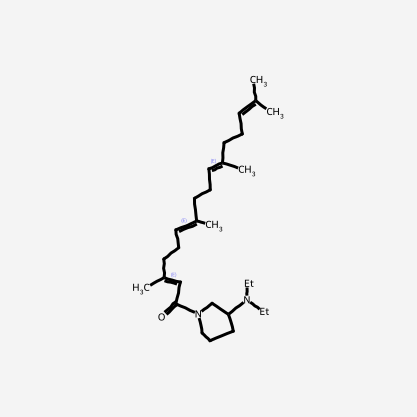 CCN(CC)C1CCCN(C(=O)/C=C(\C)CC/C=C(\C)CC/C=C(\C)CCC=C(C)C)C1